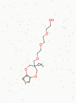 CC1(COCCOCCOCCO)COc2cscc2OC1